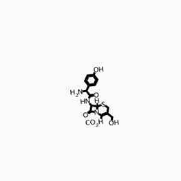 NC(C(=O)NC1C(=O)N2C(C(=O)O)=C(CO)CS[C@@H]12)c1ccc(O)cc1